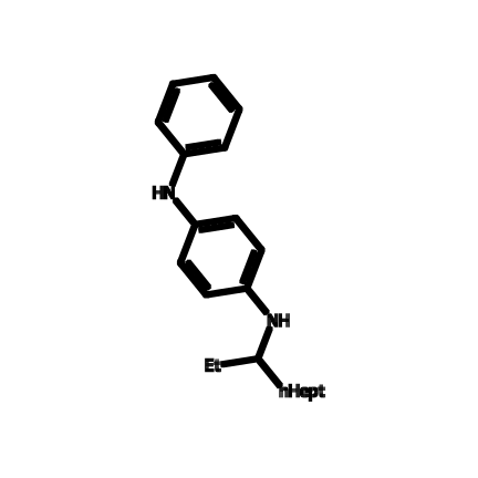 CCCCCCCC(CC)Nc1ccc(Nc2ccccc2)cc1